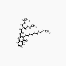 CCCCCCCCCCn1c(CCCN(CCCC)CCCC)nc2ccccc2c1=O